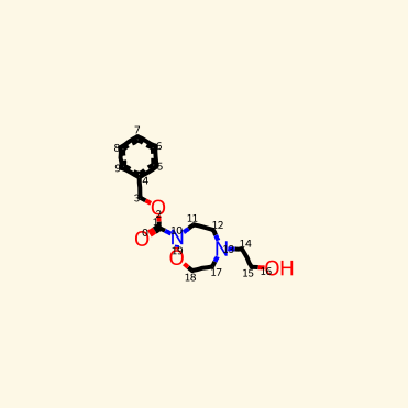 O=C(OCc1ccccc1)N1CCN(CCO)CCO1